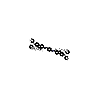 CC1(C)c2cc(/C=C/c3ccc(/C=C/c4ccc5c(c4)C(C)(C)c4cc(N(c6cccnc6)c6cccnc6)ccc4-5)cc3)ccc2-c2ccc(N(c3cccnc3)c3cccnc3)cc21